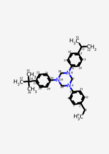 CCc1ccc(N2CN(c3ccc(C(C)C)cc3)CN(c3ccc(C(C)(C)C)cc3)C2)cc1